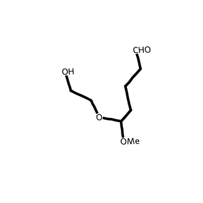 COC(CCCC=O)OCCO